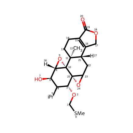 CSCO[C@@H]1C(C(C)C)[C@@H](O)[C@@H]2O[C@@]23[C@@]2(C)CCC4=C(COC4=O)[C@@H]2CC2O[C@]213